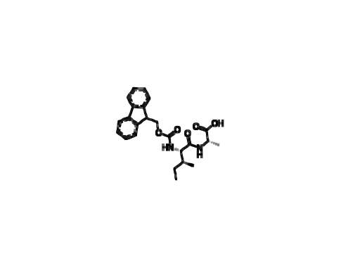 CC[C@H](C)[C@H](NC(=O)OCC1c2ccccc2-c2ccccc21)C(=O)N[C@@H](C)C(=O)O